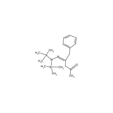 CC(=O)CC(Cc1ccccc1)=NN([Si](C)(C)C)[Si](C)(C)C